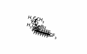 C=C(C)C(=O)OC(C)N(CCCC)S(=O)(=O)C(F)(F)C(F)(F)C(F)(F)C(F)(F)C(F)(F)C(F)(F)C(F)(F)C(F)(F)F